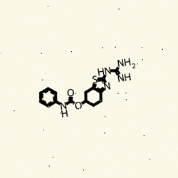 N=C(N)Nc1nc2c(s1)CC(OC(=O)Nc1ccccc1)CC2